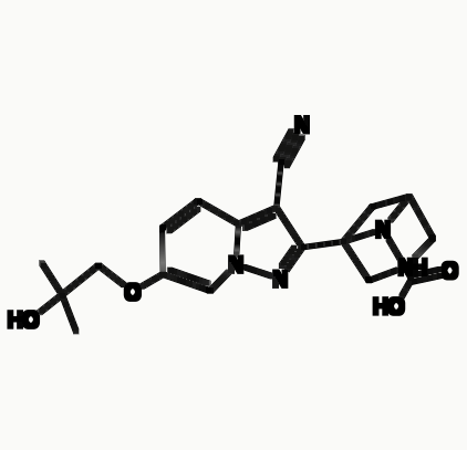 CC(C)(O)COc1ccc2c(C#N)c(C34CNCC(C3)N4C(=O)O)nn2c1